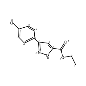 CCOC(=O)c1cc(-c2ccc(Cl)cc2)no1